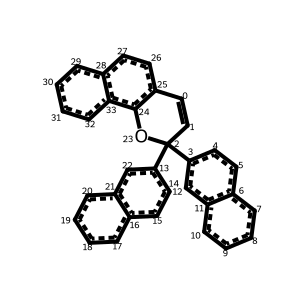 C1=CC(c2ccc3ccccc3c2)(c2ccc3ccccc3c2)Oc2c1ccc1ccccc21